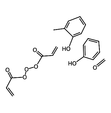 C=CC(=O)OOOC(=O)C=C.C=O.Cc1ccccc1O.Oc1ccccc1